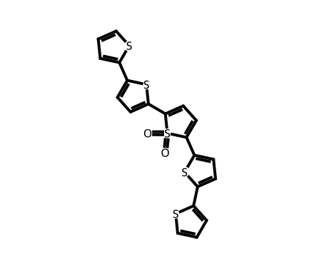 O=S1(=O)C(c2ccc(-c3cccs3)s2)=CC=C1c1ccc(-c2cccs2)s1